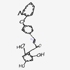 O=C(/C=C/c1ccc(Oc2ccccn2)cc1)c1c(O)cc(O)cc1O